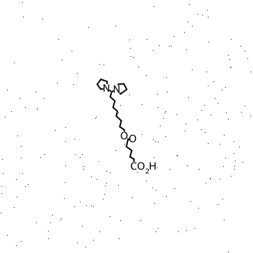 O=C(O)CCCCC(=O)OCCCCCCCCC(N1CCCC1)N1CCCC1